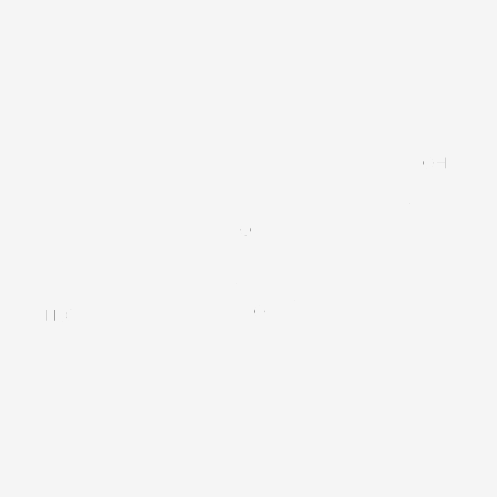 Cc1ccc(C(=O)Oc2ccc3ccc(O)cc3c2)cc1